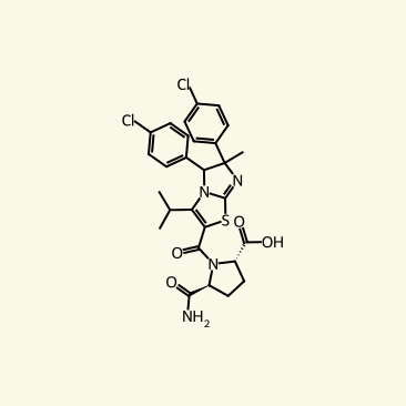 CC(C)C1=C(C(=O)N2[C@H](C(N)=O)CC[C@H]2C(=O)O)SC2=NC(C)(c3ccc(Cl)cc3)C(c3ccc(Cl)cc3)N21